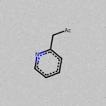 [CH2]C(=O)Cc1ccccn1